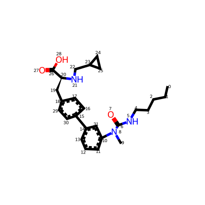 CCCCCNC(=O)N(C)c1cccc(-c2ccc(C[C@H](NCC3CC3)C(=O)O)cc2)c1